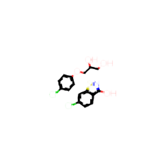 OCC(O)COc1ccc(Cl)cc1.Oc1nsc2cc(Cl)ccc12